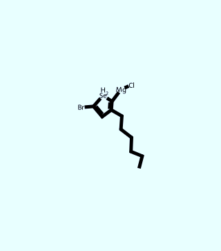 CCCCCCC1=[C]([Mg][Cl])[SeH2]C(Br)=C1